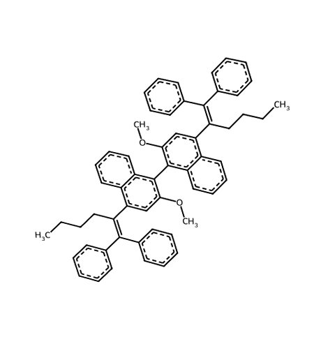 CCCCC(=C(c1ccccc1)c1ccccc1)c1cc(OC)c(-c2c(OC)cc(C(CCCC)=C(c3ccccc3)c3ccccc3)c3ccccc23)c2ccccc12